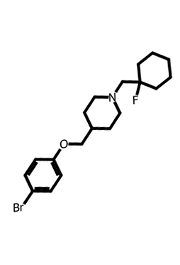 FC1(CN2CCC(COc3ccc(Br)cc3)CC2)CCCCC1